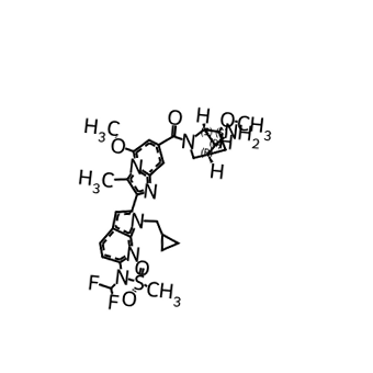 COc1cc(C(=O)N2C[C@H]3C[C@H](OC)[C@@H]2[C@@H]3N)cc2nc(-c3cc4ccc(N(C(F)F)S(C)(=O)=O)nc4n3CC3CC3)c(C)n12